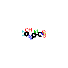 CS(=O)(=O)N1CCC(c2cc3cnn(-c4cc(O)c(F)c(F)c4)c3cc2Cl)CC1